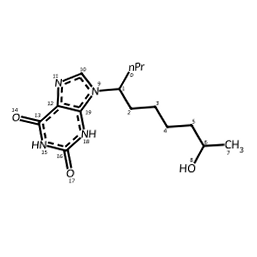 CCCC(CCCCC(C)O)n1cnc2c(=O)[nH]c(=O)[nH]c21